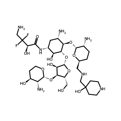 NCC(F)(F)[C@H](O)C(=O)N[C@@H]1C[C@H](N)[C@@H](O[C@H]2O[C@H](CNCC3(O)CCNCC3)CC[C@H]2N)[C@H](O[C@@H]2O[C@H](CO)[C@@H](O[C@H]3OCC[C@H](O)[C@H]3N)[C@H]2O)[C@H]1O